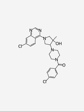 CC1(O)CN(c2ncnc3cc(Cl)ccc23)CC1N1CCN(C(=O)c2ccc(Cl)cc2)CC1